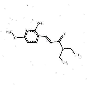 CCN(CC)C(=O)/C=C/c1ccc(OC)cc1O